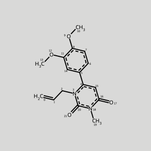 C=CCn1c(-c2ccc(OC)c(OC)c2)cc(=O)n(C)c1=O